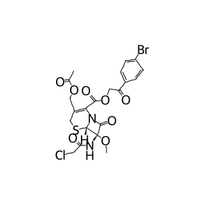 CO[C@@]1(NC(=O)CCl)C(=O)N2C(C(=O)OCC(=O)c3ccc(Br)cc3)=C(COC(C)=O)CS[C@H]21